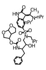 CCCN(CCC)C(C)=C1C(=O)Nc2ccc(S(=O)(=O)N(CC(C)C)CC(O)C(Cc3ccccc3)NC(=O)OC3COC4OCCC34)cc21